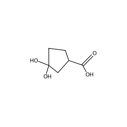 O=C(O)C1CCC(O)(O)C1